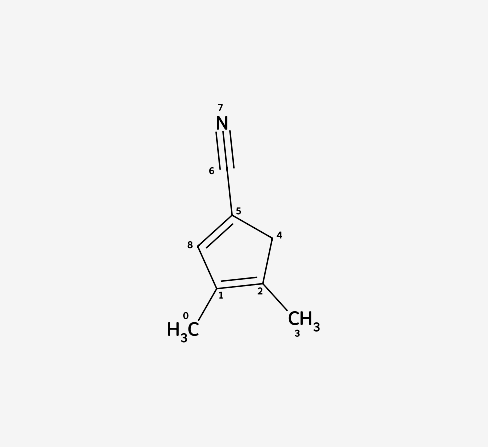 CC1=C(C)CC(C#N)=C1